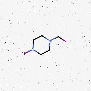 ICN1CCN(I)CC1